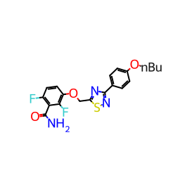 CCCCOc1ccc(-c2nsc(COc3ccc(F)c(C(N)=O)c3F)n2)cc1